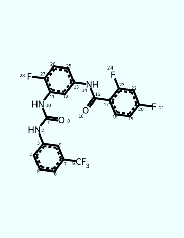 O=C(Nc1cccc(C(F)(F)F)c1)Nc1cc(NC(=O)c2ccc(F)cc2F)ccc1F